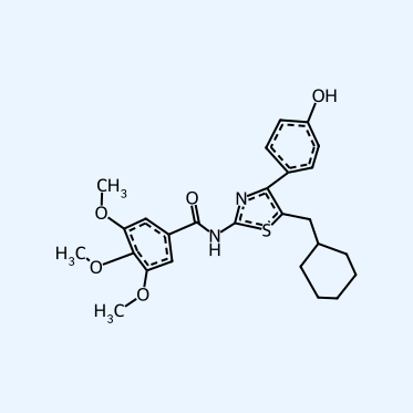 COc1cc(C(=O)Nc2nc(-c3ccc(O)cc3)c(CC3CCCCC3)s2)cc(OC)c1OC